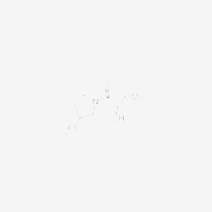 COC(C)C(=O)N1CCC(C(C)C)C1